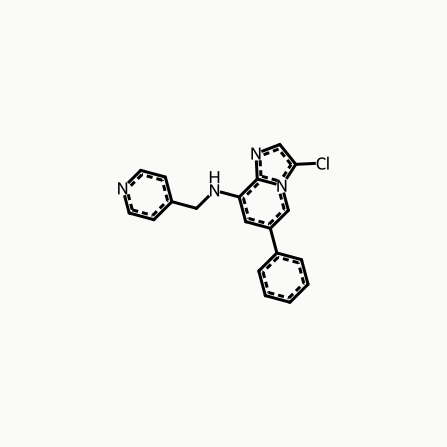 Clc1cnc2c(NCc3ccncc3)cc(-c3ccccc3)cn12